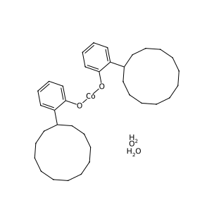 O.O.c1ccc(C2CCCCCCCCCCC2)c([O][Co][O]c2ccccc2C2CCCCCCCCCCC2)c1